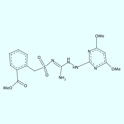 COC(=O)c1ccccc1CS(=O)(=O)/N=C(\N)NNc1nc(OC)cc(OC)n1